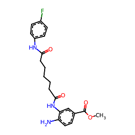 COC(=O)c1ccc(N)c(NC(=O)CCCCCC(=O)Nc2ccc(F)cc2)c1